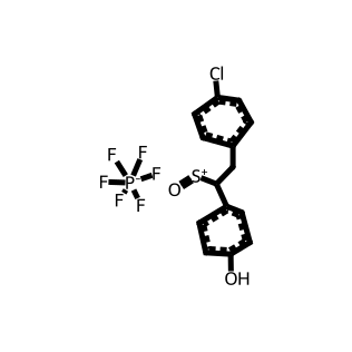 F[P-](F)(F)(F)(F)F.O=[S+]C(Cc1ccc(Cl)cc1)c1ccc(O)cc1